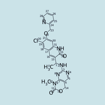 CC(Nc1ncc2c(n1)N(C)C(=O)OC2)c1cc2cc(Cl)c(OCc3ccccn3)cc2[nH]c1=O